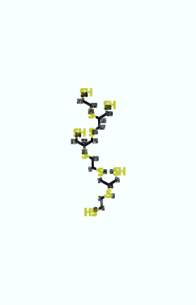 SCCSC(CS)CSCCSC(CS)CSCC(CS)SCCS